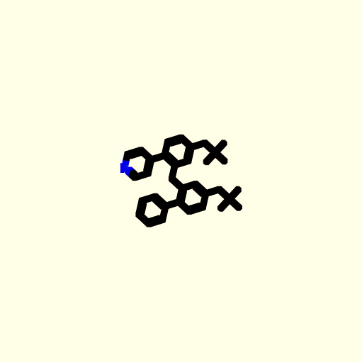 CC(C)(C)Cc1ccc(-c2ccccc2)c(Cc2cc(CC(C)(C)C)ccc2-c2ccncc2)c1